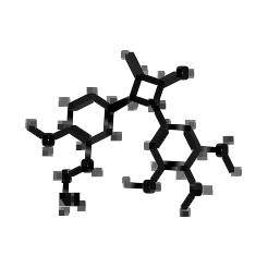 C=C1C(=O)N(c2cc(OC)c(OC)c(OC)c2)[C@H]1c1ccc(OC)c(OSN)c1